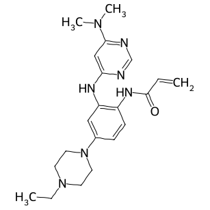 C=CC(=O)Nc1ccc(N2CCN(CC)CC2)cc1Nc1cc(N(C)C)ncn1